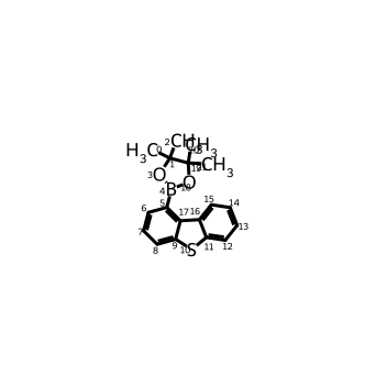 CC1(C)OB(c2cccc3sc4ccccc4c23)OC1(C)C